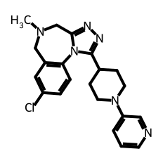 CN1Cc2cc(Cl)ccc2-n2c(nnc2C2CCN(c3cccnc3)CC2)C1